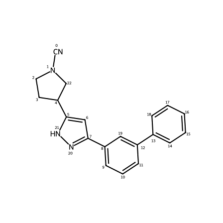 N#CN1CCC(c2cc(-c3cccc(-c4ccccc4)c3)n[nH]2)C1